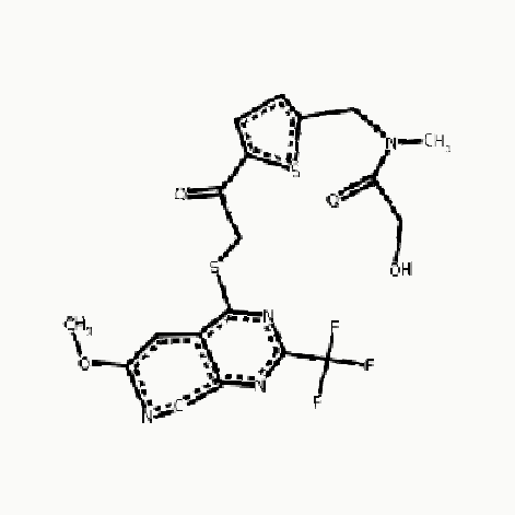 COc1cc2c(SCC(=O)c3ccc(CN(C)C(=O)CO)s3)nc(C(F)(F)F)nc2cn1